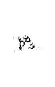 CNc1cc(C)nc(Nc2cc3c(c(C4=CCN(C(=O)OC(C)(C)C)CC(O[Si](C)(C)C(C)(C)C)C4)c2F)OCO3)n1